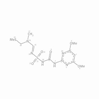 COc1cc(OC)nc(NC(=O)NS(=O)(=O)N=CN(C)CSC)n1